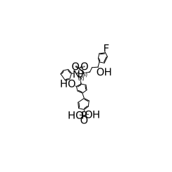 O=P(O)(O)c1ccc(-c2ccc([C@@H]3[C@H](CCC(O)c4ccc(F)cc4)S(=O)(=O)N3c3ccccc3)c(O)c2)cc1